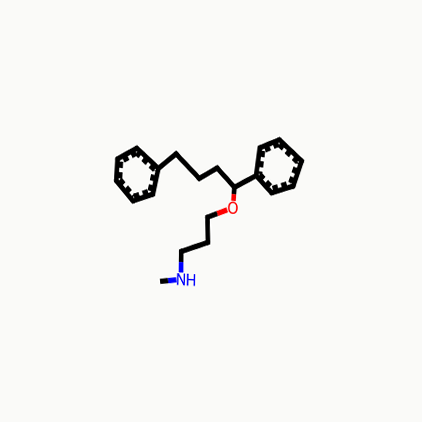 CNCCCOC(CCCc1ccccc1)c1ccccc1